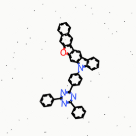 c1ccc(-c2nc(-c3ccccc3)nc(-c3ccc(-n4c5ccccc5c5cc6c(cc54)oc4cc5ccccc5cc46)cc3)n2)cc1